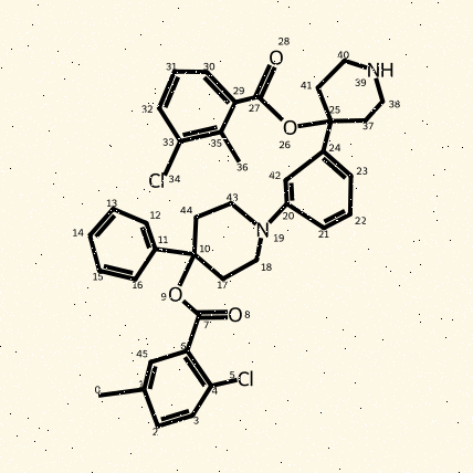 Cc1ccc(Cl)c(C(=O)OC2(c3ccccc3)CCN(c3cccc(C4(OC(=O)c5cccc(Cl)c5C)CCNCC4)c3)CC2)c1